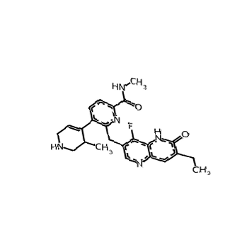 CCc1cc2ncc(Cc3nc(C(=O)NC)ccc3C3=CCNCC3C)c(F)c2[nH]c1=O